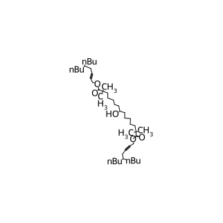 CCCCC(CC#CCOC(=O)C(C)(C)CCCCCC(O)CCCCCC(C)(C)C(=O)OCC#CCC(CCCC)CCCC)CCCC